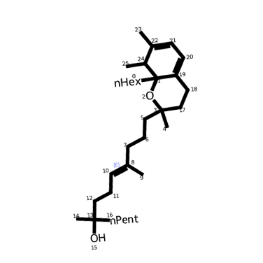 CCCCCCC12OC(C)(CCC/C(C)=C/CCC(C)(O)CCCCC)CCC1=CC=C(C)C2C